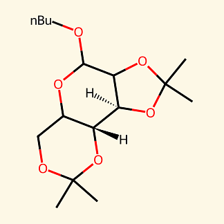 CCCCOC1OC2COC(C)(C)O[C@H]2[C@@H]2OC(C)(C)OC12